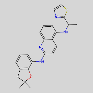 CC(Nc1cccc2nc(Nc3cccc4c3OC(C)(C)C4)ccc12)c1nccs1